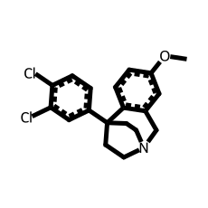 COc1ccc2c(c1)CN1CCC2(c2ccc(Cl)c(Cl)c2)CC1